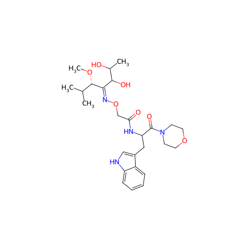 CO[C@H](/C(=N/OCC(=O)NC(Cc1c[nH]c2ccccc12)C(=O)N1CCOCC1)C(O)C(C)O)C(C)C